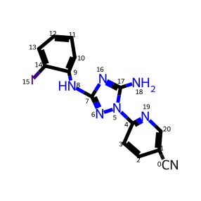 N#Cc1ccc(-n2nc(Nc3ccccc3I)nc2N)nc1